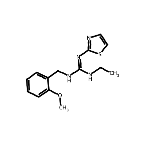 CCNC(=Nc1nccs1)NCc1ccccc1OC